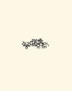 COc1cc2c(cc1C(=O)Nc1cccc(-c3nncn3[C@H](C)CO)n1)CN(C(=O)N1CCCC1)C2